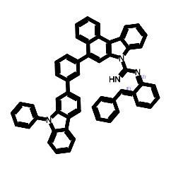 N=C(/N=C1/C=CC=C/C1=C\c1ccccc1)n1c2ccccc2c2c3ccccc3c(-c3cccc(-c4ccc5c6ccccc6n(-c6ccccc6)c5c4)c3)cc21